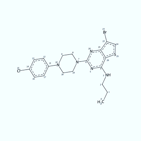 CCCNc1nc(N2CCN(c3ccc(Cl)cc3)CC2)nc2c(Br)csc12